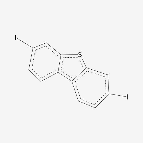 Ic1ccc2c(c1)sc1cc(I)ccc12